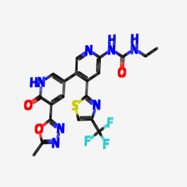 CCNC(=O)Nc1cc(-c2nc(C(F)(F)F)cs2)c(-c2c[nH]c(=O)c(-c3nnc(C)o3)c2)cn1